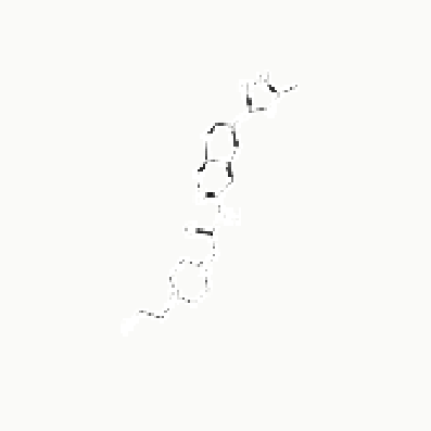 Cc1nnc(-c2ccc3cnc(NC(=O)CN4CCN(CCF)CC4)cc3c2)s1